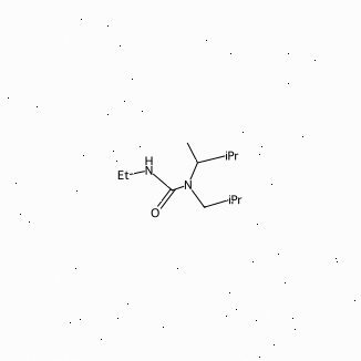 CCNC(=O)N(CC(C)C)C(C)C(C)C